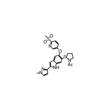 CC(=O)N1CCC[C@@H]1c1cc2[nH]c(-c3ccn(C)n3)cc2cc1Oc1ccc(S(C)(=O)=O)nc1